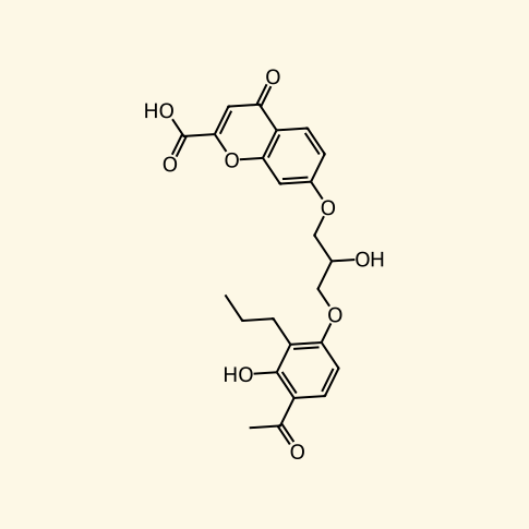 CCCc1c(OCC(O)COc2ccc3c(=O)cc(C(=O)O)oc3c2)ccc(C(C)=O)c1O